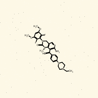 B=C(c1ccc(N2CCN(CC)CC2)cc1)c1c(N)ncc2c1N(C)C(=O)N(c1c(F)c(OC)cc(OC)c1F)C2